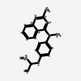 CCCCC(Oc1ccc(N(C)c2nc(C)nc3ccccc23)cc1)C(=O)O